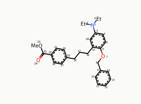 CCN(CC)c1ccc(OCc2ccccc2)c(CCCc2ccc(C(=O)OC)cc2)c1